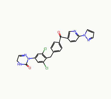 O=C(c1ccc(Cc2c(Cl)cc(N3N=CCNC3=O)cc2Cl)cc1)c1ccc(-n2cccn2)nc1